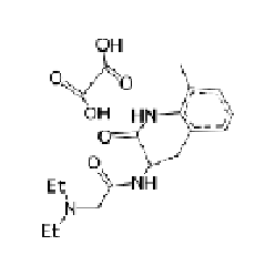 CCN(CC)CC(=O)NC1Cc2cccc(C)c2NC1=O.O=C(O)C(=O)O